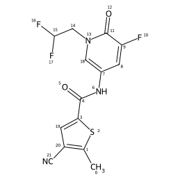 Cc1sc(C(=O)Nc2cc(F)c(=O)n(CC(F)F)c2)cc1C#N